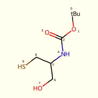 CC(C)(C)OC(=O)NC(CO)CS